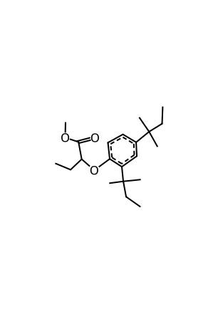 CCC(Oc1ccc(C(C)(C)CC)cc1C(C)(C)CC)C(=O)OC